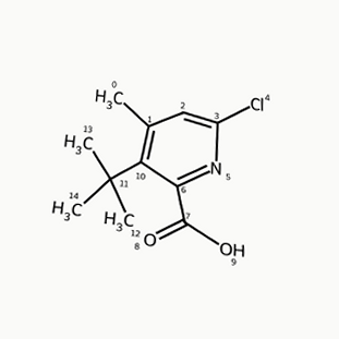 Cc1cc(Cl)nc(C(=O)O)c1C(C)(C)C